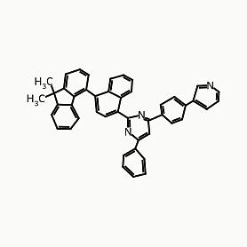 CC1(C)c2ccccc2-c2c(-c3ccc(-c4nc(-c5ccccc5)cc(-c5ccc(-c6cccnc6)cc5)n4)c4ccccc34)cccc21